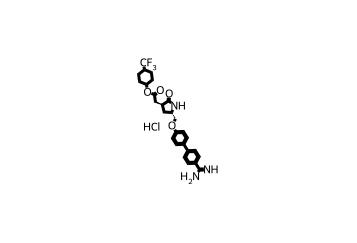 Cl.N=C(N)c1ccc(-c2ccc(OC[C@@H]3C[C@@H](CC(=O)OC4CCC(C(F)(F)F)CC4)C(=O)N3)cc2)cc1